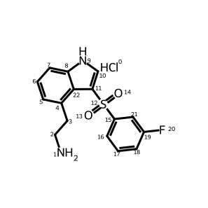 Cl.NCCc1cccc2[nH]cc(S(=O)(=O)c3cccc(F)c3)c12